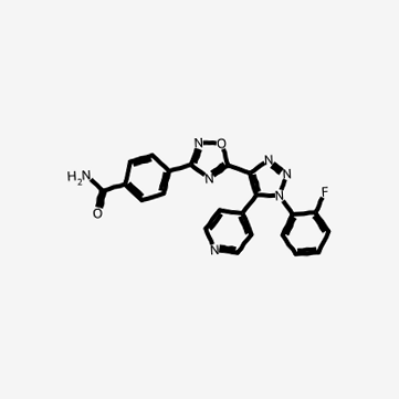 NC(=O)c1ccc(-c2noc(-c3nnn(-c4ccccc4F)c3-c3ccncc3)n2)cc1